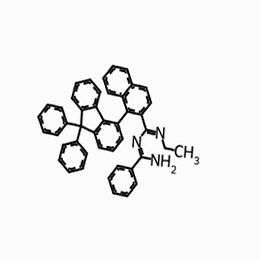 CC/N=C(\N=C(/N)c1ccccc1)c1ccc2ccccc2c1-c1cccc2c1-c1ccccc1C2(c1ccccc1)c1ccccc1